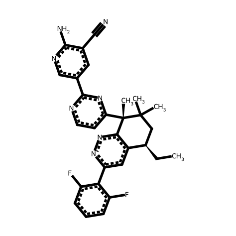 CC[C@@H]1CC(C)(C)[C@@](C)(c2ccnc(-c3cnc(N)c(C#N)c3)n2)c2nnc(-c3c(F)cccc3F)cc21